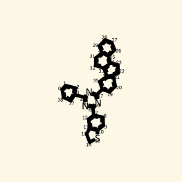 c1ccc(-c2nc(-c3ccc4c(c3)CCS4)nc(-c3ccc4ccc5c6ccccc6ccc5c4c3)n2)cc1